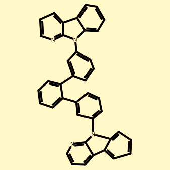 c1cc(-c2ccccc2-c2cccc(-n3c4ccccc4c4cccnc43)c2)cc(-n2c3ccccc3c3cccnc32)c1